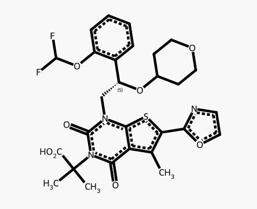 Cc1c(-c2ncco2)sc2c1c(=O)n(C(C)(C)C(=O)O)c(=O)n2C[C@@H](OC1CCOCC1)c1ccccc1OC(F)F